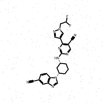 N#Cc1ccc2c(c1)ncn2[C@H]1CCC[C@@H](Nc2ncc(C#N)c(-c3cnn(CC(F)F)c3)n2)C1